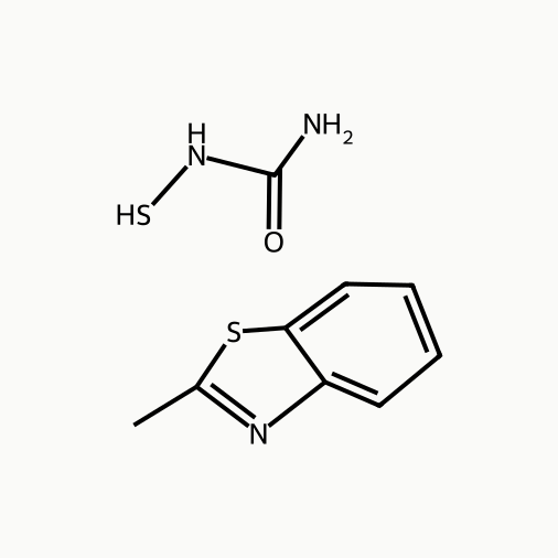 Cc1nc2ccccc2s1.NC(=O)NS